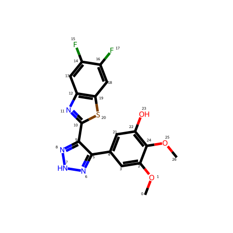 COc1cc(-c2n[nH]nc2-c2nc3cc(F)c(F)cc3s2)cc(O)c1OC